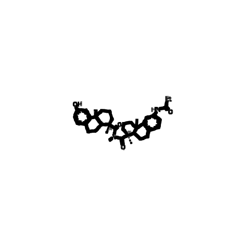 CCC(=O)Nc1ccc2c(c1)C1(C)CCC[C@](C)(C(=O)N(C)C(=O)[C@@]3(C)CCCC4(C)c5cc(O)ccc5CCC43)C1CC2